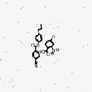 CCCc1ccc(OC(=O)c2ccc(C#N)cc2)cc1.O=C(O)c1ccc(Cl)cc1[N+](=O)[O-]